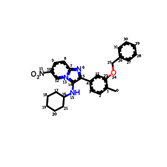 Cc1ccc(-c2nc3ccc([N+](=O)[O-])cn3c2NC2CCCCC2)cc1OCc1ccccc1